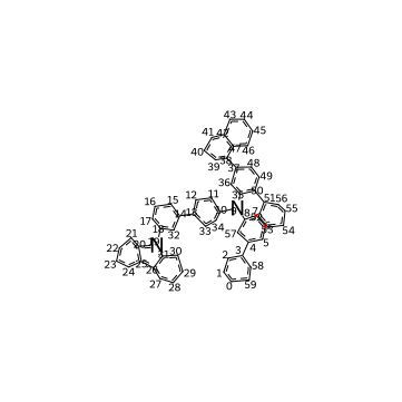 c1ccc(-c2cccc(N(c3ccc(-c4cccc(-n5c6ccccc6c6ccccc65)c4)cc3)c3cc(-c4cccc5ccccc45)ccc3-c3ccccc3)c2)cc1